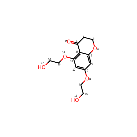 O=C1CCOc2cc(OCCO)cc(OCCO)c21